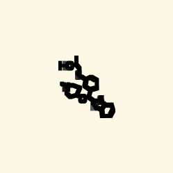 CC(O)CSc1cccc(C(OC2CCN(C)CC2)c2nc3ccccc3s2)c1